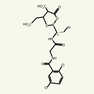 CC(C)C[C@H](NC(=O)CNC(=O)c1cc(Cl)ccc1Cl)B1OC(=O)C(C(=O)O)C(CC(=O)O)O1